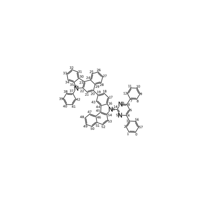 c1ccc(-c2cc(-c3ccccc3)nc(-n3c4ccc(-c5cc6c(c7ccccc57)c5ccccc5n6-c5ccccc5)cc4c4c5ccccc5ccc43)n2)cc1